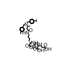 Cc1ccc(CN(Cc2ccc(I)cc2)C(C)CC(=O)NCCCC[C@H](NC(=O)N[C@@H](CCC(=O)O)C(=O)O)C(=O)O)cc1